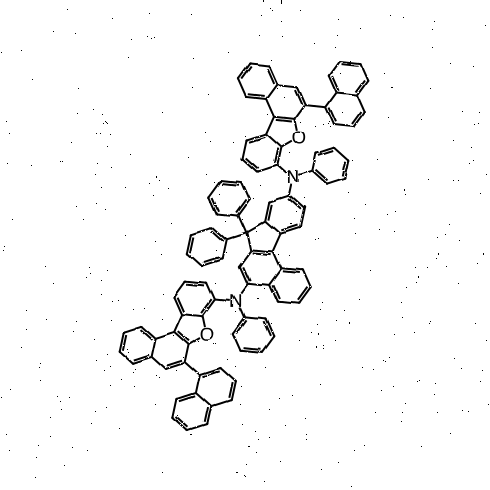 c1ccc(N(c2ccc3c(c2)C(c2ccccc2)(c2ccccc2)c2cc(N(c4ccccc4)c4cccc5c4oc4c(-c6cccc7ccccc67)cc6ccccc6c45)c4ccccc4c2-3)c2cccc3c2oc2c(-c4cccc5ccccc45)cc4ccccc4c23)cc1